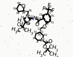 CC(C)(C)OC(=O)N1CCC[C@@H](COc2ccc(C(F)(F)F)cc2C(=O)/N=c2\sc(C(C)(C)C)cn2C[C@H]2CCCO2)C1